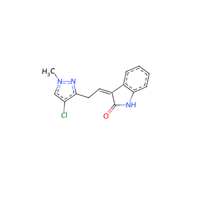 Cn1cc(Cl)c(CC=C2C(=O)Nc3ccccc32)n1